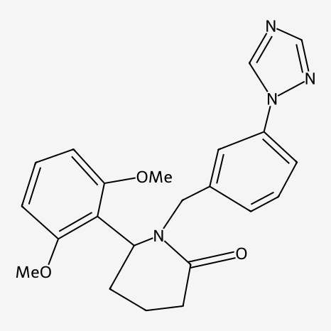 COc1cccc(OC)c1C1CCCC(=O)N1Cc1cccc(-n2cncn2)c1